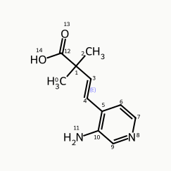 CC(C)(/C=C/c1ccncc1N)C(=O)O